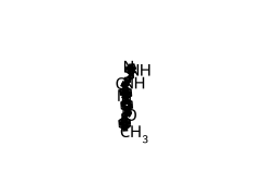 Cc1ccc(CC(=O)N2CCN(c3ccc(C(=O)NCCc4cnc[nH]4)cn3)CC2)cc1